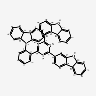 c1ccc(-n2c3ccccc3c3ccccc32)c(-c2nc(-c3ccc4c(c3)oc3ccccc34)nc(-c3cccc4oc5ccccc5c34)n2)c1